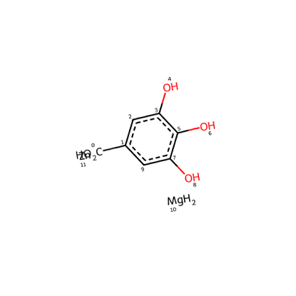 O=C(O)c1cc(O)c(O)c(O)c1.[MgH2].[Zn]